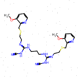 COc1cccnc1CSCC/N=C(/NC#N)NCCCN/C(=N\CCSCc1ncccc1OC)NC#N